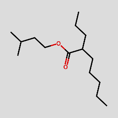 CCCCCC(CCC)C(=O)OCCC(C)C